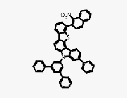 O=[N+]([O-])c1c(-c2cccc3c2sc2c3ccc3c2c2ccc(-c4ccccc4)cc2n3-c2cc(-c3ccccc3)cc(-c3ccccc3)c2)ccc2ccccc12